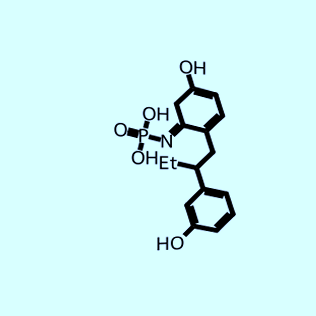 CCC(CC1=CC=C(O)CC1=NP(=O)(O)O)c1cccc(O)c1